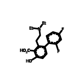 CCN(CC)CCc1c(-c2ccc(F)cc2F)ccc(O)c1C(=O)O